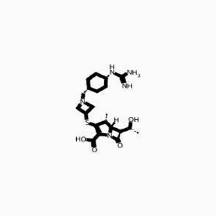 C[C@@H](O)[C@H]1C(=O)N2C(C(=O)O)=C(SC3CN(C[C@H]4CC[C@@H](NC(=N)N)CC4)C3)[C@H](C)[C@H]12